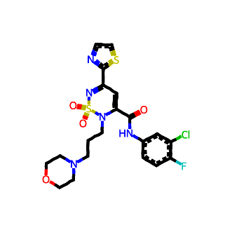 O=C(Nc1ccc(F)c(Cl)c1)C1=CC(c2nccs2)=NS(=O)(=O)N1CCCN1CCOCC1